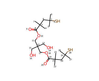 CC(C)(S)CC(C)(C)C(=O)OCC(CO)(CO)COC(=O)C(C)(C)CC(C)(C)S